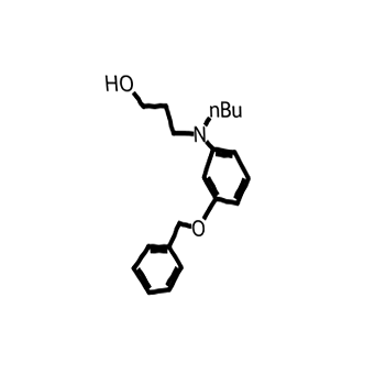 CCCCN(CCCO)c1cccc(OCc2ccccc2)c1